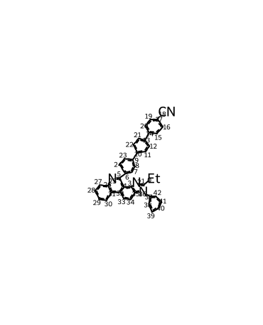 CCc1nc2c3c(-c4ccc(-c5ccc(-c6ccc(C#N)cc6)cc5)cc4)nc4ccccc4c3ccc2n1-c1ccccc1